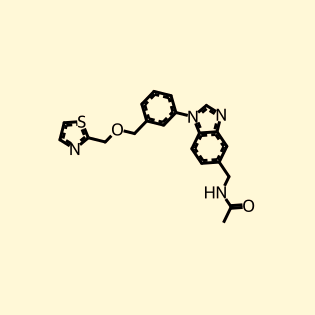 CC(=O)NCc1ccc2c(c1)ncn2-c1cccc(COCc2nccs2)c1